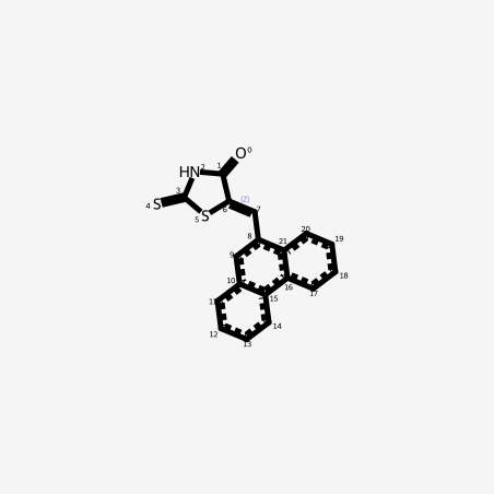 O=C1NC(=S)S/C1=C\c1cc2ccccc2c2ccccc12